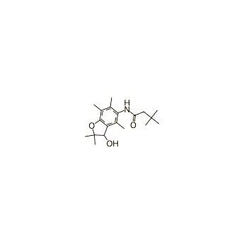 Cc1c(C)c2c(c(C)c1NC(=O)CC(C)(C)C)C(O)C(C)(C)O2